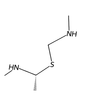 CNCS[C@H](C)NC